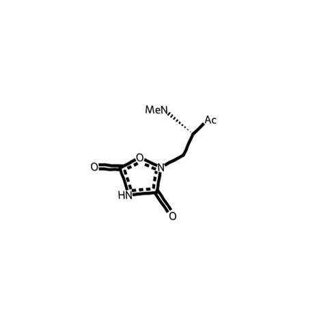 CN[C@@H](Cn1oc(=O)[nH]c1=O)C(C)=O